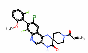 C=CC(=O)N1CCC2(CC1)Nc1c(cnc3c(F)c(-c4c(F)cccc4OC)c(Cl)cc13)NC2=O